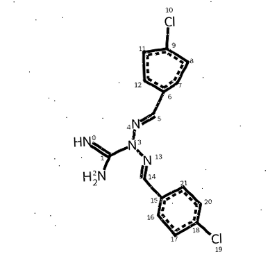 N=C(N)N(N=Cc1ccc(Cl)cc1)N=Cc1ccc(Cl)cc1